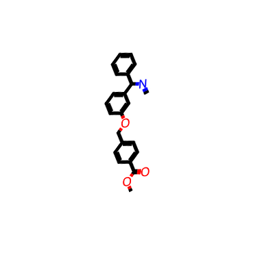 C=NC(c1ccccc1)c1cccc(OCc2ccc(C(=O)OC)cc2)c1